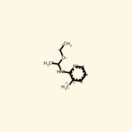 CCOC(C)Nc1ncccc1C